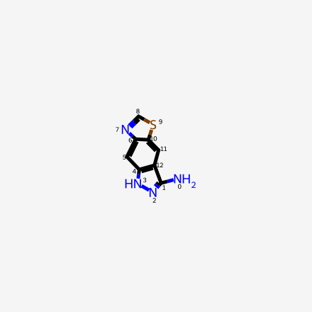 Nc1n[nH]c2cc3ncsc3cc12